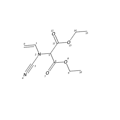 C=CN(C#N)C(C(=O)OCC)C(=O)OCC